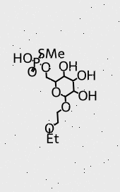 CCOCCOC1OC(COP(=O)(O)SC)C(O)C(O)C1O